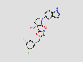 O=C1N(c2ccc3[nH]ccc3c2)CCC1(O)c1nnc(Cc2cc(F)cc(F)c2)o1